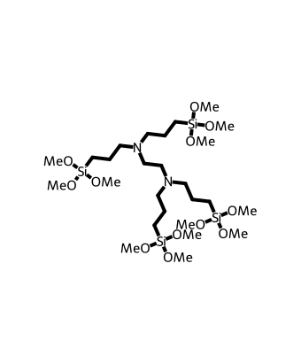 CO[Si](CCCN(CCC[Si](OC)(OC)OC)CCN(CCC[Si](OC)(OC)OC)CCC[Si](OC)(OC)OC)(OC)OC